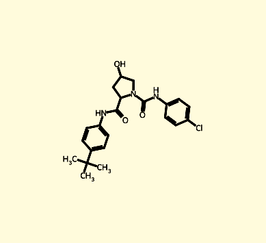 CC(C)(C)c1ccc(NC(=O)C2CC(O)CN2C(=O)Nc2ccc(Cl)cc2)cc1